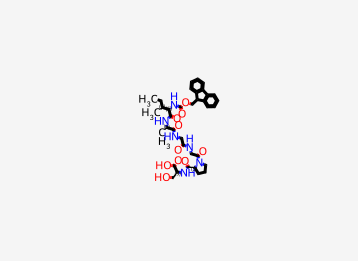 CC[C@H](C)[C@H](NC(=O)OCC1c2ccccc2-c2ccccc21)C(=O)N[C@@H](C)C(=O)NCC(=O)NCC(=O)N1CCC[C@H]1C(=O)N[C@@H](CO)C(=O)O